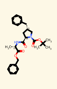 C[C@H](NC(=O)[C@H]1C[C@H](Cc2ccccc2)CN1C(=O)OC(C)(C)C)C(=O)OCc1ccccc1